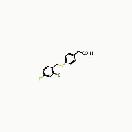 O=C(O)Cc1ccc(SCc2ccc(F)cc2Cl)cc1